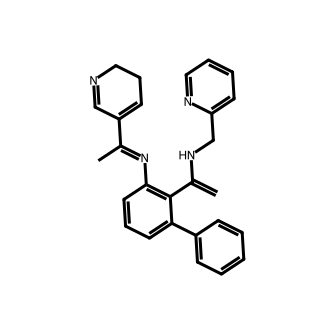 C=C(NCc1ccccn1)c1c(/N=C(\C)C2=CCCN=C2)cccc1-c1ccccc1